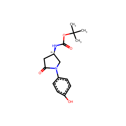 CC(C)(C)OC(=O)N[C@@H]1CC(=O)N(c2ccc(O)cc2)C1